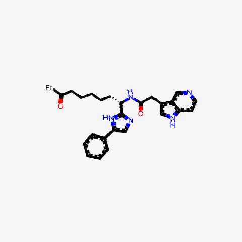 CCC(=O)CCCCC[C@H](NC(=O)Cc1c[nH]c2ccncc12)c1ncc(-c2ccccc2)[nH]1